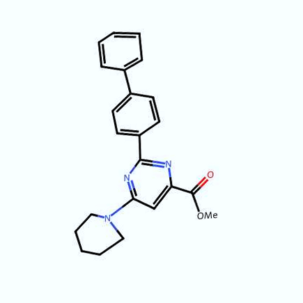 COC(=O)c1cc(N2CCCCC2)nc(-c2ccc(-c3ccccc3)cc2)n1